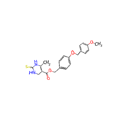 COc1ccc(COc2ccc(COC(=O)C3=C(C)NC(=S)NC3)cc2)cc1